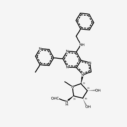 Cc1cncc(-c2nc(NCc3ccccc3)c3ncn([C@H]4[C@H](O)[C@H](O)[C@@H](NC=O)N4C)c3n2)c1